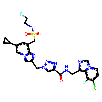 O=C(NCc1ncn2ccc(Cl)c(F)c12)c1cn(Cc2cn3cc(C4CC4)cc(CS(=O)(=O)NCCF)c3n2)nn1